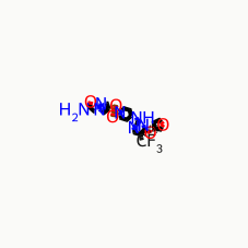 NC(=O)Cn1cc(S(=O)(=O)N2CCC(Nc3ncc(C(F)(F)F)c(O[C@H]4CCOC4)n3)CC2)cn1